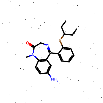 CCC(CC)Sc1ccccc1C1=NCC(=O)N(C)c2ccc(N)cc21